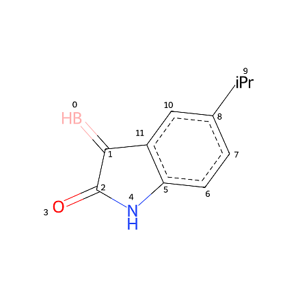 B=C1C(=O)Nc2ccc(C(C)C)cc21